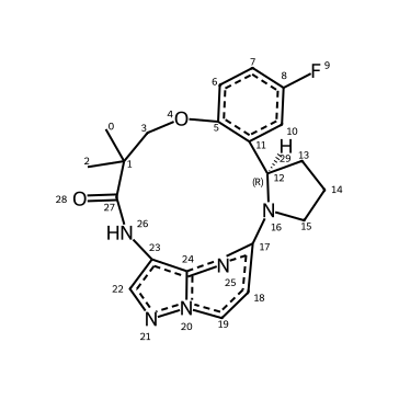 CC1(C)COc2ccc(F)cc2[C@H]2CCCN2c2ccn3ncc(c3n2)NC1=O